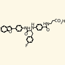 O=C(O)CCNC(=O)c1ccc(NC(Cc2ccc(F)cc2)C(=O)Nc2ccc(-c3cc4ccccc4o3)cc2)cc1